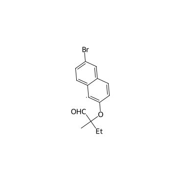 CCC(C)(C=O)Oc1[c]c2ccc(Br)cc2cc1